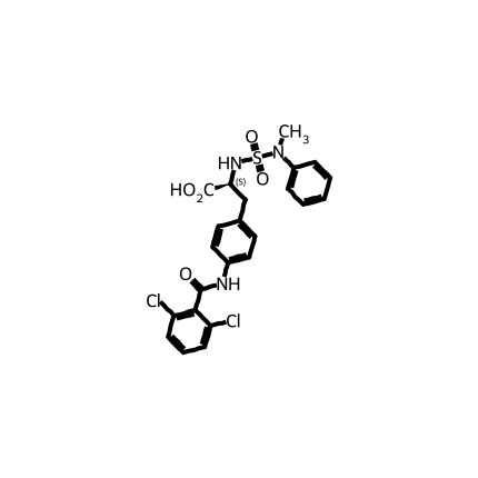 CN(c1ccccc1)S(=O)(=O)N[C@@H](Cc1ccc(NC(=O)c2c(Cl)cccc2Cl)cc1)C(=O)O